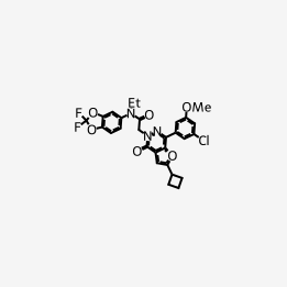 CCN(C(=O)Cn1nc(-c2cc(Cl)cc(OC)c2)c2oc(C3CCC3)cc2c1=O)c1ccc2c(c1)OC(F)(F)O2